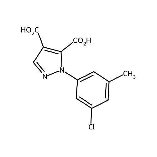 Cc1cc(Cl)cc(-n2ncc(C(=O)O)c2C(=O)O)c1